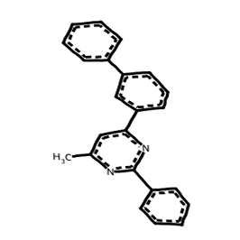 Cc1cc(-c2cccc(-c3ccccc3)c2)nc(-c2ccccc2)n1